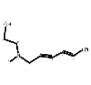 CCCC=CC=CCN(C)CCO